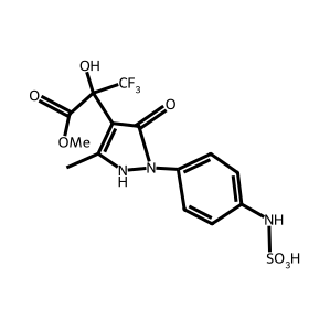 COC(=O)C(O)(c1c(C)[nH]n(-c2ccc(NS(=O)(=O)O)cc2)c1=O)C(F)(F)F